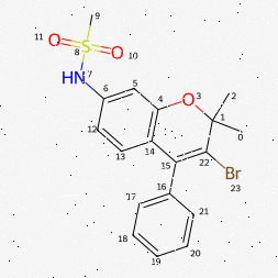 CC1(C)Oc2cc(NS(C)(=O)=O)ccc2C(c2ccccc2)=C1Br